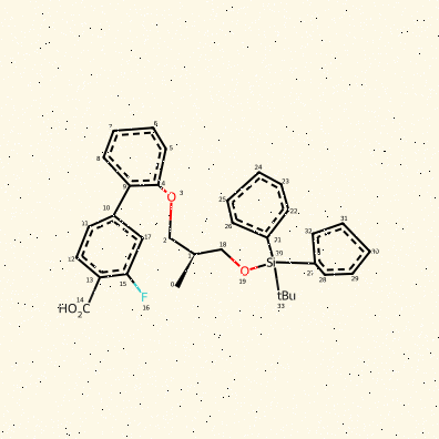 C[C@@H](COc1ccccc1-c1ccc(C(=O)O)c(F)c1)CO[Si](c1ccccc1)(c1ccccc1)C(C)(C)C